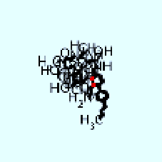 CCCCc1ccc(-c2ccc(C(=O)N[C@H](CO)C(=O)N[C@H](C)C(=O)NCC(=O)N(C)[C@H](C(=O)N[C@@H](C)C(=O)N[C@@H](CCCCN)C(=O)N[C@@H](C)B(O)O)C(C)O)cc2)cc1